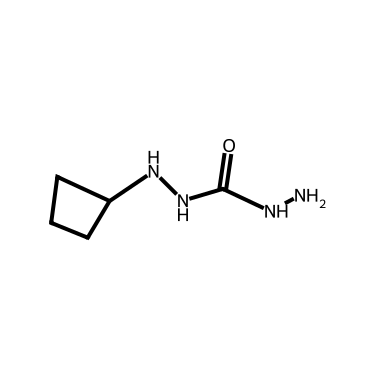 NNC(=O)NNC1CCC1